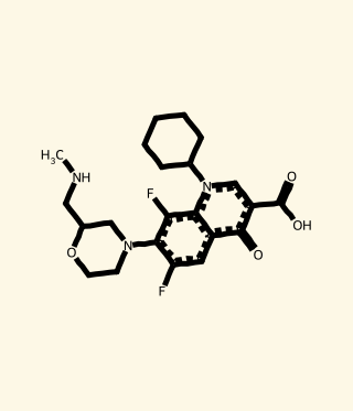 CNCC1CN(c2c(F)cc3c(=O)c(C(=O)O)cn(C4CCCCC4)c3c2F)CCO1